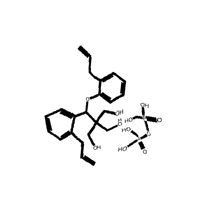 C=CCc1ccccc1OC(c1ccccc1CC=C)C(CO)(CO)CO.O=P(O)(O)OP(=O)(O)O